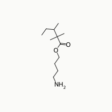 CCC(C)C(C)(C)C(=O)OCCCCN